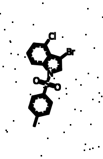 Cc1ccc(S(=O)(=O)n2cc(Br)c3c(Cl)cccc32)cc1